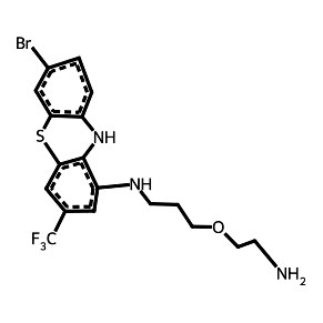 NCCOCCCNc1cc(C(F)(F)F)cc2c1Nc1ccc(Br)cc1S2